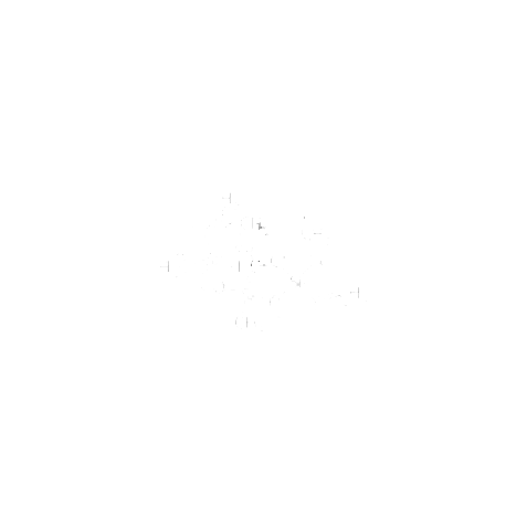 C=C[Si](C)(C=C)O[Si](C)(C)O[Si](C)(C=C)C=C